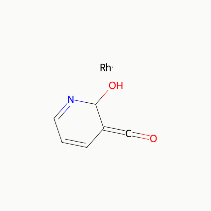 O=C=C1C=CC=NC1O.[Rh]